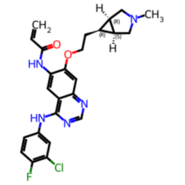 C=CC(=O)Nc1cc2c(Nc3ccc(F)c(Cl)c3)ncnc2cc1OCC[C@H]1[C@H]2CN(C)C[C@@H]12